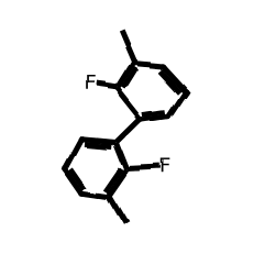 Cc1cccc(-c2cccc(C)c2F)c1F